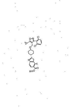 COC(=O)c1ccc2nc([C@H]3CC[C@H](OCc4c(-c5c(Cl)cccc5Cl)noc4C4CC4)CC3)sc2c1F